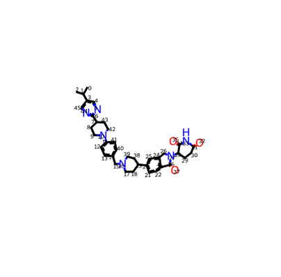 CC(C)c1cnc(C2CCN(c3ccc(CN4CCC(c5ccc6c(c5)CN(C5CCC(=O)NC5=O)C6=O)CC4)cc3)CC2)nc1